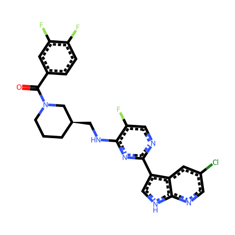 O=C(c1ccc(F)c(F)c1)N1CCC[C@H](CNc2nc(-c3c[nH]c4ncc(Cl)cc34)ncc2F)C1